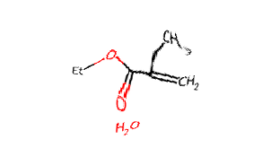 C=C(C)C(=O)OCC.O